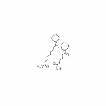 NC(=O)CCCCC(=O)N1CCCCCC1.NC(=O)CCCCCCCC(=O)N1CCCCCC1